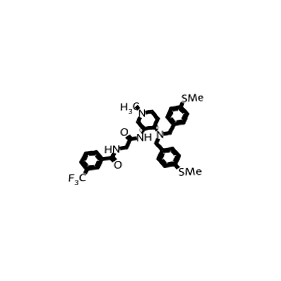 CSc1ccc(CN(Cc2ccc(SC)cc2)[C@@H]2CCN(C)C[C@@H]2NC(=O)CNC(=O)c2cccc(C(F)(F)F)c2)cc1